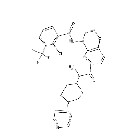 CN(C(=O)c1ccc2c(c1)C(NC(=O)c1cccc(C(F)(F)F)c1Cl)CCO2)C1CCN(c2ccncc2)CC1